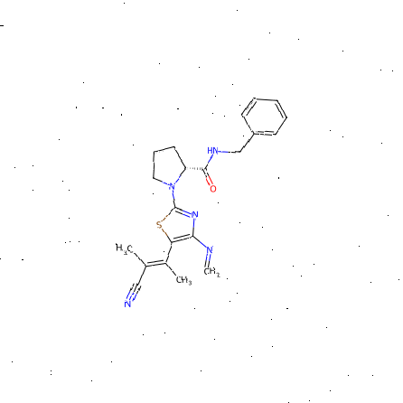 C=Nc1nc(N2CCC[C@@H]2C(=O)NCc2ccccc2)sc1/C(C)=C(\C)C#N